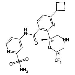 C[C@@]1(c2nc(C3CCC3)ccc2C(=O)Nc2ccnc(S(N)(=O)=O)c2)CNC[C@H](C(F)(F)F)O1